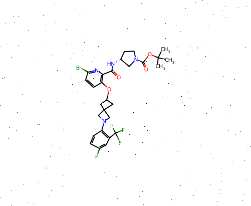 CC(C)(C)OC(=O)N1CC[C@@H](NC(=O)c2nc(Br)ccc2OC2CC3(C2)CN(c2ccc(F)cc2C(F)(F)F)C3)C1